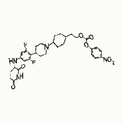 O=C1CCC(Nc2cc(F)c(C3CCN(C4CCC(CCOC(=O)Oc5ccc([N+](=O)[O-])cc5)CC4)CC3)c(F)c2)C(=O)N1